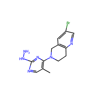 Cc1cnc(NN)nc1N1CCc2ncc(Br)cc2C1